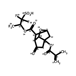 C=C(C)C(=O)OC12CC(=O)C3C(C(=O)OC(C(F)(F)F)C(F)(F)S(=O)(=O)O)C(C1)OC32